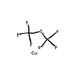 FC(F)(F)SC(F)(F)F.[Cu]